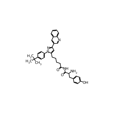 CC(C)(C)c1ccc(-n2nc(-c3cnc4ccccc4c3)cc2CCCCC(=O)NC(=O)C(N)Cc2ccc(O)cc2)cc1